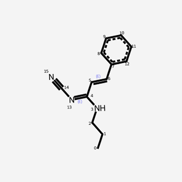 CCCNC(/C=C/c1ccccc1)=N/C#N